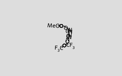 COc1ccc(COCc2nnc(-c3ccc(N4CCC(c5ccc(C(F)(F)F)cc5)(C(F)(F)F)CC4)nn3)o2)cc1